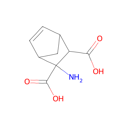 NC1(C(=O)O)C2C=CC(C2)C1C(=O)O